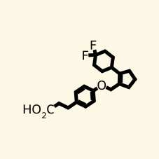 O=C(O)CCc1ccc(OCC2=C(C3CCC(F)(F)CC3)CCC2)cc1